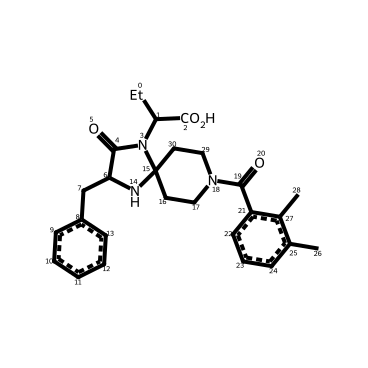 CCC(C(=O)O)N1C(=O)C(Cc2ccccc2)NC12CCN(C(=O)c1cccc(C)c1C)CC2